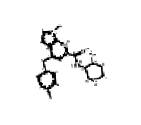 Cn1ccc2c(Cc3ccc(F)cc3)cc(C(=O)N[C@@H]3COCC[C@@H]3O)nc21